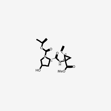 C=C[C@@H]1C[C@]1(NC(=O)[C@@H]1CC(O)CN1C(=O)OC(=C)C)C(=O)OC